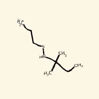 CCCSNC(C)(C)CC